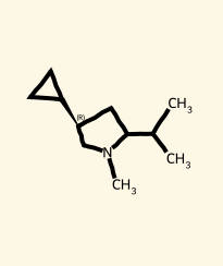 CC(C)C1C[C@H](C2CC2)CN1C